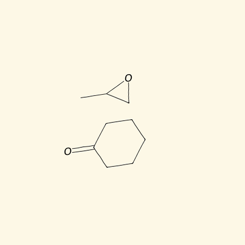 CC1CO1.O=C1CCCCC1